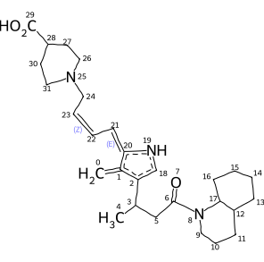 C=c1c(C(C)CC(=O)N2CCCC3CCCCC32)c[nH]/c1=C/C=C\CN1CCC(C(=O)O)CC1